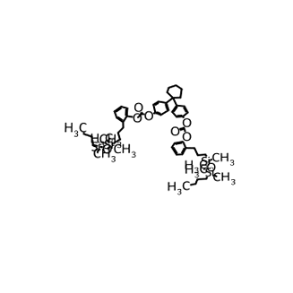 CCCC[Si](C)(C)O[Si](C)(C)CCCc1ccccc1OC(=O)Oc1ccc(C2(c3ccc(OC(=O)Oc4ccccc4CCC[Si](C)(C)O[Si](C)(C)CCCC)cc3)CCCCC2)cc1